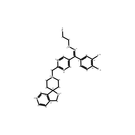 FCCO/N=C(\c1cnc(CN2CCC3(CC2)OCc2ccncc23)nc1)c1ccc(F)c(F)c1